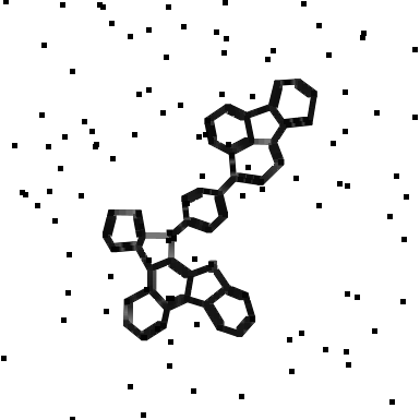 c1ccc2c(c1)-c1cccc3c(-c4ccc(-n5c6ccccc6c6c7ccccc7c7c8ccccc8sc7c65)cc4)ccc-2c13